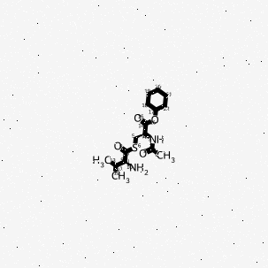 CC(=O)N[C@@H](CSC(=O)[C@@H](N)C(C)C)C(=O)OC1CCCCC1